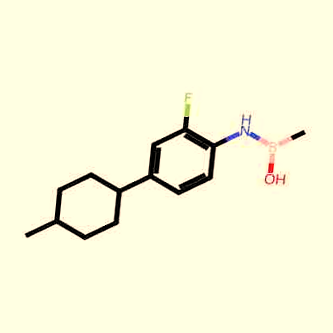 CB(O)Nc1ccc(C2CCC(C)CC2)cc1F